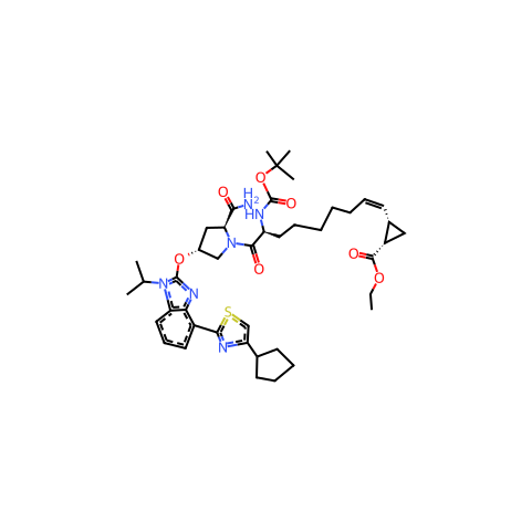 CCOC(=O)[C@H]1C[C@H]1/C=C\CCCCC[C@H](NC(=O)OC(C)(C)C)C(=O)N1C[C@H](Oc2nc3c(-c4nc(C5CCCC5)cs4)cccc3n2C(C)C)C[C@H]1C(N)=O